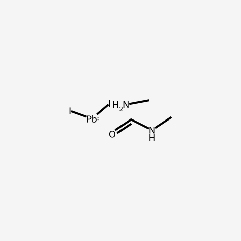 CN.CNC=O.[I][Pb][I]